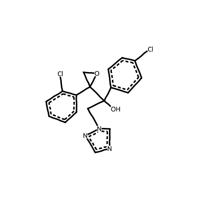 OC(Cn1cncn1)(c1ccc(Cl)cc1)C1(c2ccccc2Cl)CO1